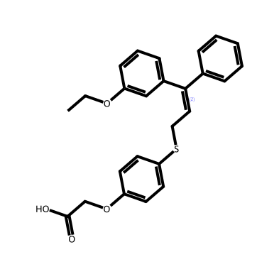 CCOc1cccc(/C(=C\CSc2ccc(OCC(=O)O)cc2)c2ccccc2)c1